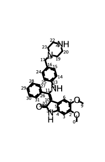 COc1cc2c(cc1OC)C(=C(Nc1ccc(CN3CCNCC3)cc1)c1ccccc1)C(=O)N2